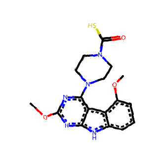 COc1nc(N2CCN(C(=O)S)CC2)c2c(n1)[nH]c1cccc(OC)c12